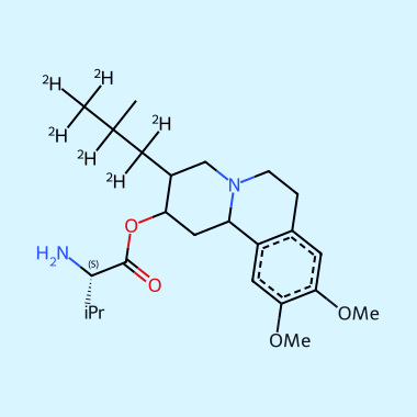 [2H]C([2H])([2H])C([2H])(C)C([2H])([2H])C1CN2CCc3cc(OC)c(OC)cc3C2CC1OC(=O)[C@@H](N)C(C)C